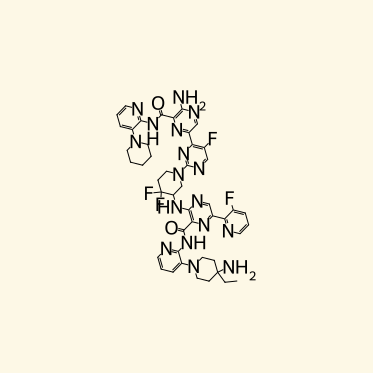 CCC1(N)CCN(c2cccnc2NC(=O)c2nc(-c3ncccc3F)cnc2NC2CN(c3ncc(F)c(-c4cnc(N)c(C(=O)Nc5ncccc5N5CCCCC5)n4)n3)CCC2(F)F)CC1